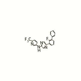 Fc1c(-c2ccccc2)cccc1-c1cnc(Nc2ccc(C(F)(F)F)nc2)cn1